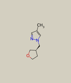 Cc1cnn(C[C@H]2CCOC2)c1